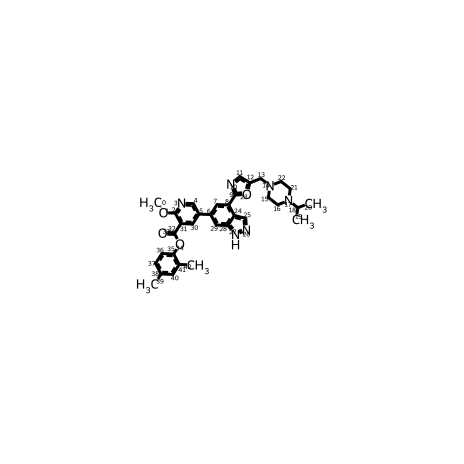 COc1ncc(-c2cc(-c3ncc(CN4CCN(C(C)C)CC4)o3)c3cn[nH]c3c2)cc1C(=O)Oc1ccc(C)cc1C